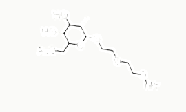 CCCOCCOCCO[C@@H]1OC(COC(C)=O)[C@H](O)C(O)[C@@H]1C